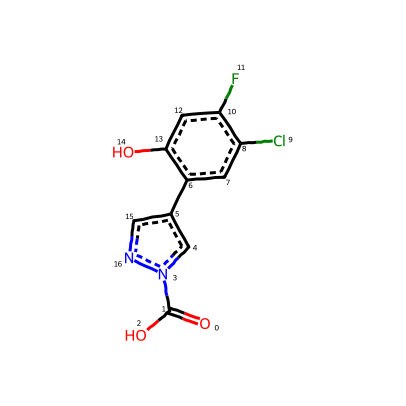 O=C(O)n1cc(-c2cc(Cl)c(F)cc2O)cn1